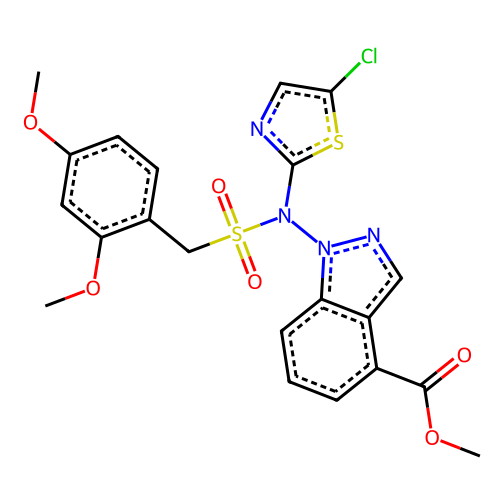 COC(=O)c1cccc2c1cnn2N(c1ncc(Cl)s1)S(=O)(=O)Cc1ccc(OC)cc1OC